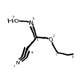 CCO/C(C#N)=N/O